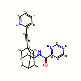 O=C(NC12CC3CC(CC(C#Cc4ccccn4)(C3)C1)C2)c1ccncn1